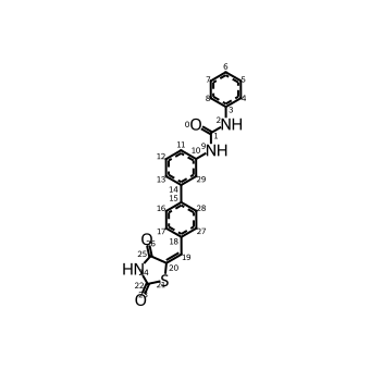 O=C(Nc1ccccc1)Nc1cccc(-c2ccc(C=C3SC(=O)NC3=O)cc2)c1